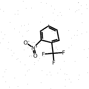 O=[N+]([O-])c1c[c]ccc1C(F)(F)F